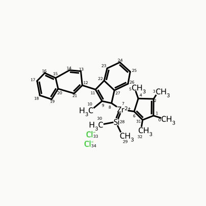 CC1=C(C)C(C)[C]([Zr+2]([CH]2C(C)=C(c3ccc4ccccc4c3)c3ccccc32)=[Si](C)C)=C1C.[Cl-].[Cl-]